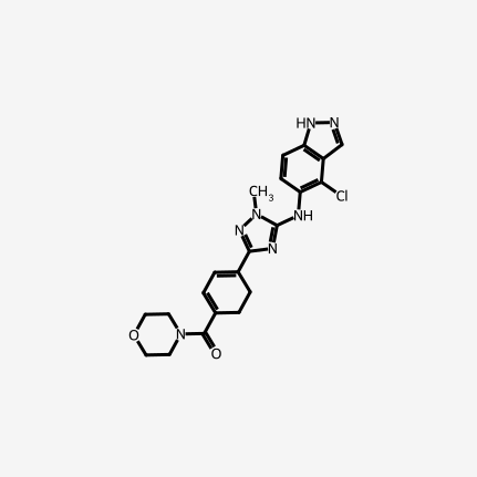 Cn1nc(C2=CC=C(C(=O)N3CCOCC3)CC2)nc1Nc1ccc2[nH]ncc2c1Cl